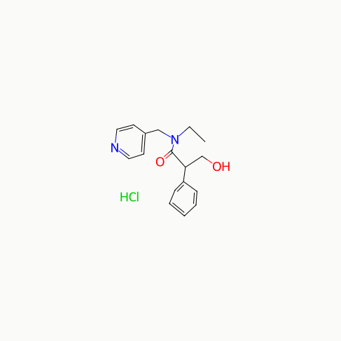 CCN(Cc1ccncc1)C(=O)C(CO)c1ccccc1.Cl